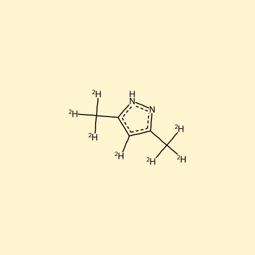 [2H]c1c(C([2H])([2H])[2H])n[nH]c1C([2H])([2H])[2H]